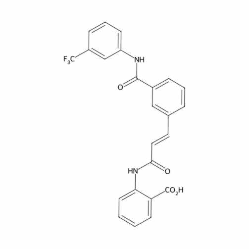 O=C(C=Cc1cccc(C(=O)Nc2cccc(C(F)(F)F)c2)c1)Nc1ccccc1C(=O)O